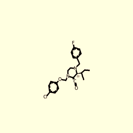 CCC(C)[C@H]1C(=C=O)N(COc2ccc(Cl)cc2)CCN1Cc1ccc(F)cc1